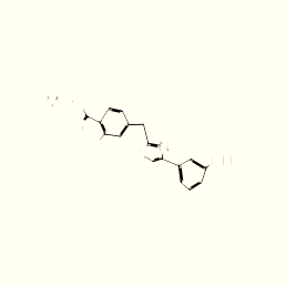 COC(=O)c1ccc(Cc2nc(-c3cccc(C)c3)cs2)cc1F